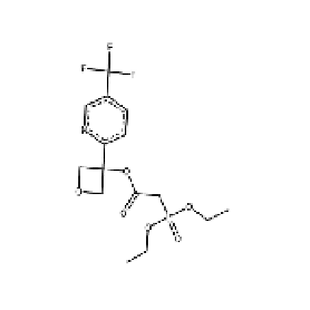 CCOP(=O)(CC(=O)OC1(c2ccc(C(F)(F)F)cn2)COC1)OCC